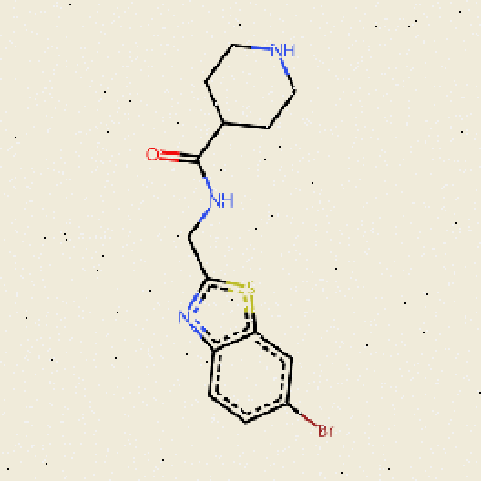 O=C(NCc1nc2ccc(Br)cc2s1)C1CCNCC1